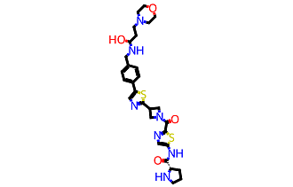 O=C(Nc1cnc(C(=O)N2CC(c3ncc(-c4ccc(CNC(O)CCN5CCOCC5)cc4)s3)C2)s1)[C@@H]1CCCN1